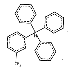 FC(F)(F)c1cccc([PH](c2ccccc2)(c2ccccc2)c2ccccc2)c1